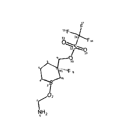 NCOB1CCC[C@@](F)(COS(=O)(=O)C(F)(F)F)C1